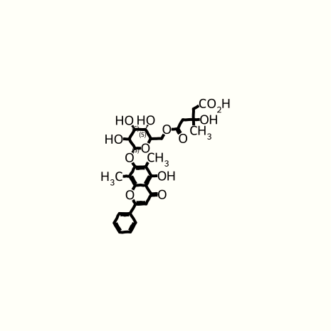 Cc1c(O[C@@H]2OC(COC(=O)CC(C)(O)CC(=O)O)[C@@H](O)[C@H](O)C2O)c(C)c2oc(-c3ccccc3)cc(=O)c2c1O